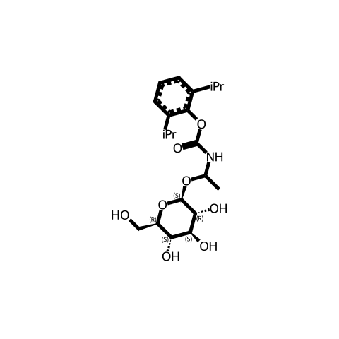 CC(NC(=O)Oc1c(C(C)C)cccc1C(C)C)O[C@@H]1O[C@H](CO)[C@@H](O)[C@H](O)[C@H]1O